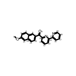 COc1ccc2cc(C(=O)c3cccc(-c4ccccn4)n3)ccc2c1